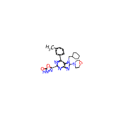 Cc1cccc(-c2nc(-c3n[nH]c(=O)o3)nc3nc(N4CCOCC4)n(CC4CCCCC4)c23)c1